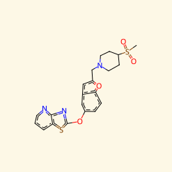 CS(=O)(=O)C1CCN(Cc2cc3cc(Oc4nc5ncccc5s4)ccc3o2)CC1